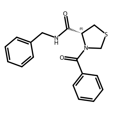 O=C(NCc1ccccc1)[C@@H]1CSCN1C(=O)c1ccccc1